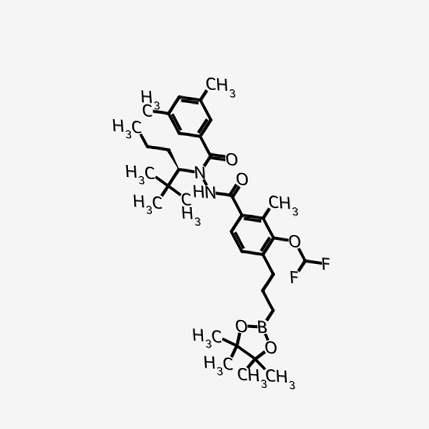 CCC[C@@H](N(NC(=O)c1ccc(CCCB2OC(C)(C)C(C)(C)O2)c(OC(F)F)c1C)C(=O)c1cc(C)cc(C)c1)C(C)(C)C